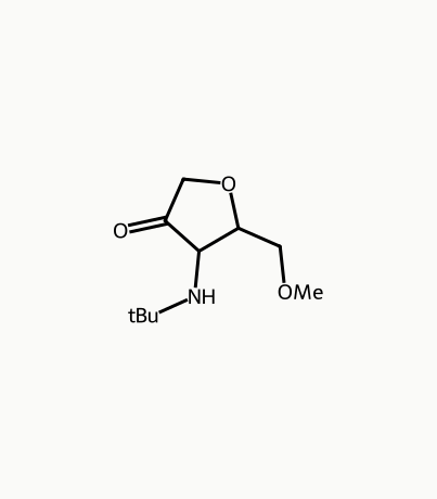 COCC1OCC(=O)C1NC(C)(C)C